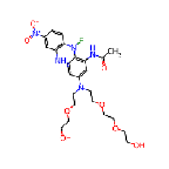 CC(=O)Nc1cc(N(CCOCCO)CCOCCOCCO)ccc1N(F)c1ccc([N+](=O)[O-])cc1N